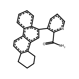 NC(=O)c1ncccc1-c1cc2c3c(ccc2c2ccccc12)CCCC3